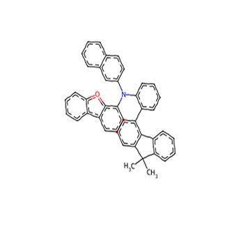 CC1(C)c2ccccc2-c2c(-c3ccccc3N(c3ccc4ccccc4c3)c3cccc4c3oc3ccccc34)cccc21